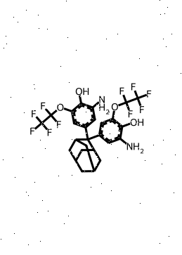 Nc1cc(C2(c3cc(N)c(O)c(OC(F)(F)C(F)(F)F)c3)C3CC4CC(C3)CC2C4)cc(OC(F)(F)C(F)(F)F)c1O